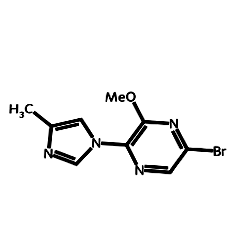 COc1nc(Br)cnc1-n1cnc(C)c1